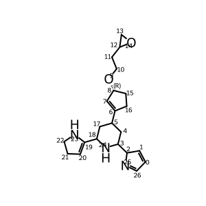 C1=CC(C2CC(C3=C[C@H](OCCC4CO4)CC3)CC(C3=CCCN3)N2)N=C1